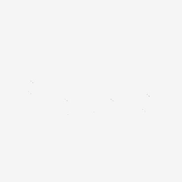 Cc1ccc(Cl)cc1-c1c(NC(=O)OC(C)(C)C)cnn1C.Cc1ccc(Cl)cc1-c1nn(C)cc1NC(=O)O